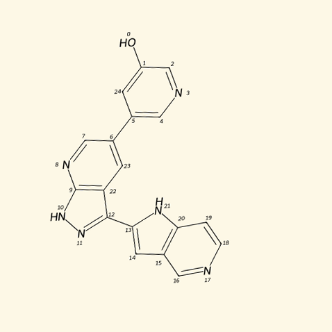 Oc1cncc(-c2cnc3[nH]nc(-c4cc5cnccc5[nH]4)c3c2)c1